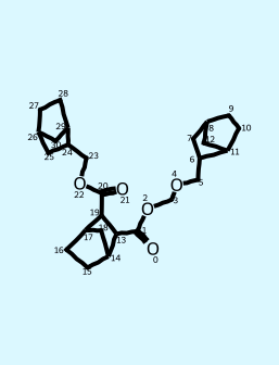 O=C(OCOCC1CC2CCC1C2)C1C2CCC(C2)C1C(=O)OCC1CC2CCC1C2